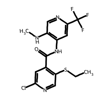 CCSc1cnc(Cl)cc1C(=O)Nc1cc(C(F)(F)F)ncc1NC